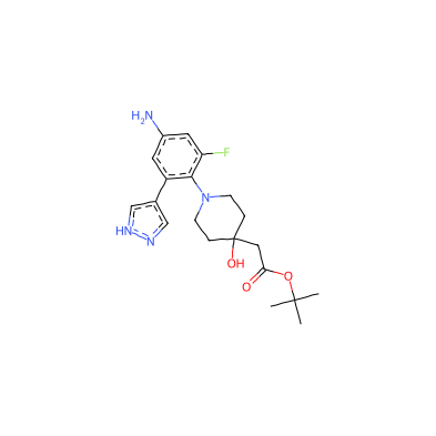 CC(C)(C)OC(=O)CC1(O)CCN(c2c(F)cc(N)cc2-c2cn[nH]c2)CC1